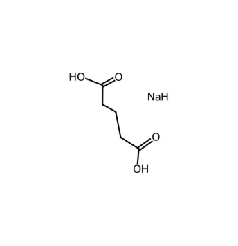 O=C(O)CCCC(=O)O.[NaH]